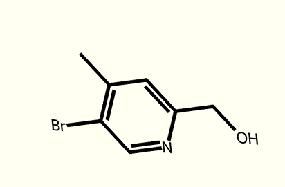 Cc1cc(CO)ncc1Br